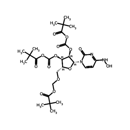 CC(C)(C)C(=O)OCOC[C@H]1O[C@@H](n2ccc(NO)nc2=O)[C@H](OC(=O)OC(=O)C(C)(C)C)[C@@H]1OC(=O)OC(=O)C(C)(C)C